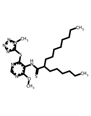 CCCCCCCCC(CCCCCC)C(=S)Nc1c(OC)ncnc1Sc1nnnn1C